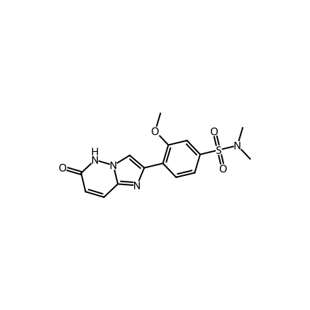 COc1cc(S(=O)(=O)N(C)C)ccc1-c1cn2[nH]c(=O)ccc2n1